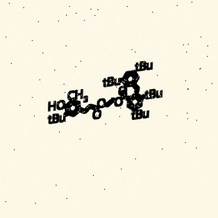 Cc1cc(CCC(=O)OCCOP2Oc3c(cc(C(C)(C)C)cc3C(C)(C)C)Cc3c2cc(C(C)(C)C)cc3C(C)(C)C)cc(C(C)(C)C)c1O